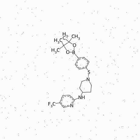 CC1(C)OB(c2ccc(SN3CCC(Nc4ccc(C(F)(F)F)cn4)CC3)cc2)OC1(C)C